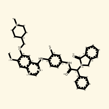 COc1cc2ncnc(Nc3ccc(NC(=O)C(c4ccccc4)N4Cc5ccccc5C4=O)cc3F)c2cc1OCC1CCN(C)CC1